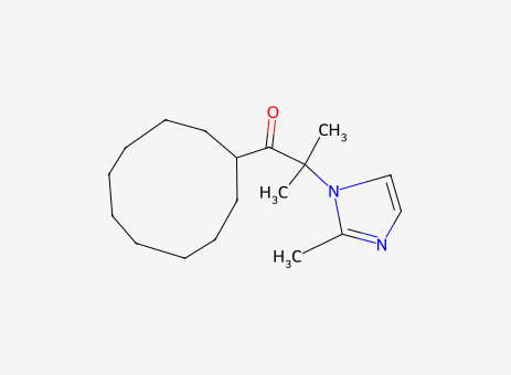 Cc1nccn1C(C)(C)C(=O)C1CCCCCCCCC1